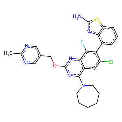 Cc1ncc(COc2nc(N3CCCCCC3)c3cc(Cl)c(-c4cccc5sc(N)nc45)c(F)c3n2)cn1